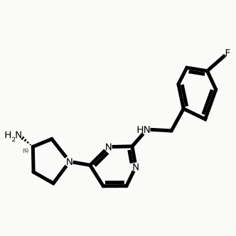 N[C@H]1CCN(c2ccnc(NCc3ccc(F)cc3)n2)C1